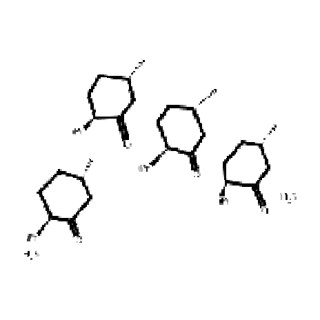 CC(C)[C@H]1CC[C@H](C)CC1=O.CC(C)[C@H]1CC[C@H](C)CC1=O.CC(C)[C@H]1CC[C@H](C)CC1=O.CC(C)[C@H]1CC[C@H](C)CC1=O.S.S